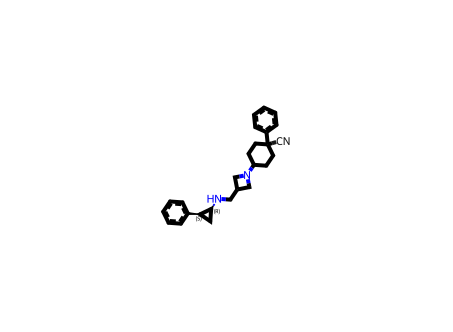 N#CC1(c2ccccc2)CCC(N2CC(CN[C@@H]3C[C@H]3c3ccccc3)C2)CC1